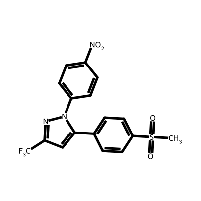 CS(=O)(=O)c1ccc(-c2cc(C(F)(F)F)nn2-c2ccc([N+](=O)[O-])cc2)cc1